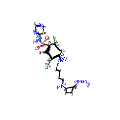 N[C@H]1CCC1NCCCCNc1cc(F)c(S(=O)(=O)Nc2ncns2)cc1Cl